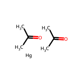 CC(C)=O.CC(C)=O.[Hg]